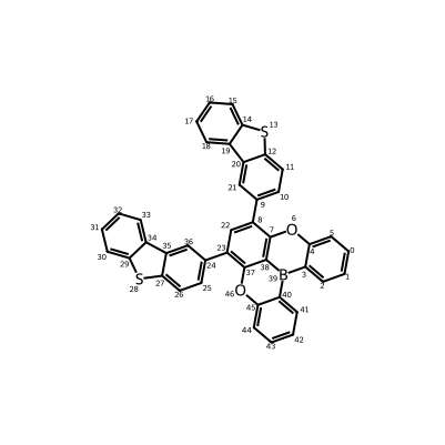 c1ccc2c(c1)Oc1c(-c3ccc4sc5ccccc5c4c3)cc(-c3ccc4sc5ccccc5c4c3)c3c1B2c1ccccc1O3